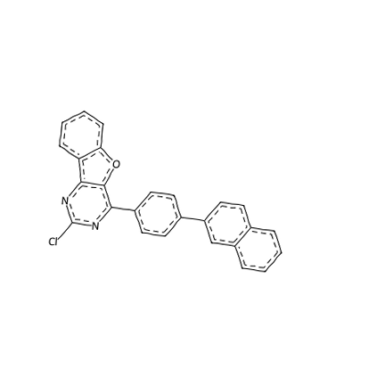 Clc1nc(-c2ccc(-c3ccc4ccccc4c3)cc2)c2oc3ccccc3c2n1